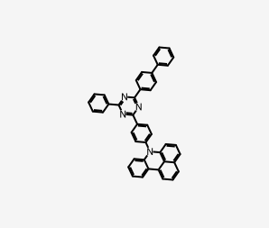 c1ccc(-c2ccc(-c3nc(-c4ccccc4)nc(-c4ccc(N5c6ccccc6-c6cccc7cccc5c67)cc4)n3)cc2)cc1